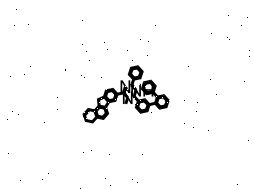 CN1C(c2ccc3c(c2)-c2ccc4c(c2C3)C=CCC4)=NC(c2ccccc2)NC1c1cccc(-c2ccccc2-c2ccccc2)c1